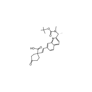 C[C@H](c1ccc2ccc(/C=C/C3(C(=O)O)CCC(=O)CC3)cc2n1)N(C)C(=O)OC(C)(C)C